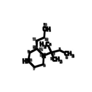 CCC(C)(C)N1CCNC[C@H]1CCO